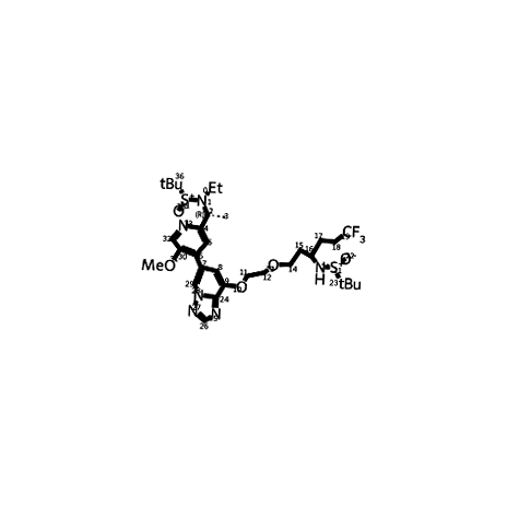 CCN([C@H](C)c1cc(-c2cc(OCCOCCC(CCC(F)(F)F)N[S+]([O-])C(C)(C)C)c3ncnn3c2)c(OC)cn1)[S+]([O-])C(C)(C)C